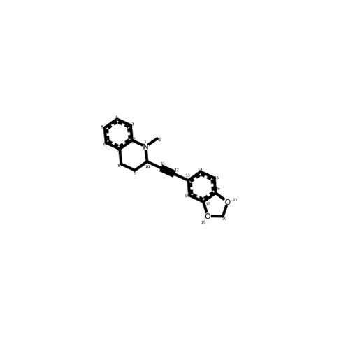 CN1c2ccccc2CCC1C#Cc1ccc2c(c1)OCO2